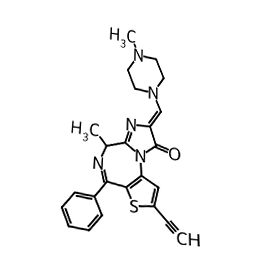 C#Cc1cc2c(s1)C(c1ccccc1)=NC(C)C1=N/C(=C\N3CCN(C)CC3)C(=O)N12